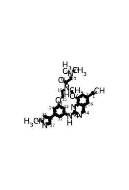 C#Cc1cc(OC)c2nc(Nc3cc(OCCNC(=O)CN(C)C)cc(-c4cnn(C)c4)c3)ncc2c1